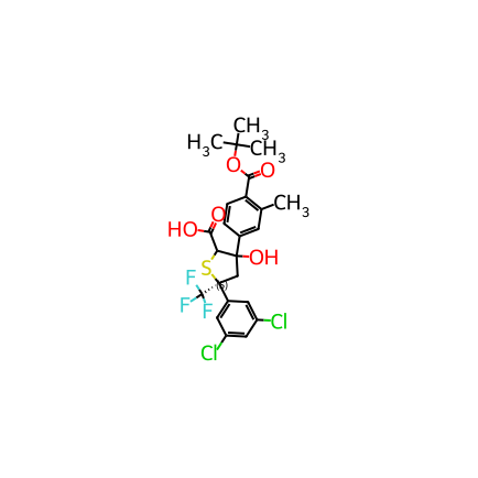 Cc1cc(C2(O)C[C@](c3cc(Cl)cc(Cl)c3)(C(F)(F)F)SC2C(=O)O)ccc1C(=O)OC(C)(C)C